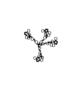 O=C(COCCOCC(COCCOCC(=O)ON1C(=O)CCC1=O)(COCCOCC(=O)ON1C(=O)CCC1=O)COCCOCC(=O)ON1C(=O)CCC1=O)OC1C(=O)CCC1=O